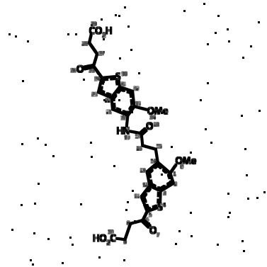 COc1cc2sc(C(=O)CCC(=O)O)cc2cc1CCC(=O)Nc1cc2cc(C(=O)CCC(=O)O)sc2cc1OC